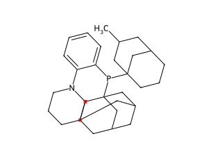 CC1CC2CCCC(P(c3ccccc3N3CCCCC3)C34CC5CC(CC(C5)C3)C4)(C1)C2